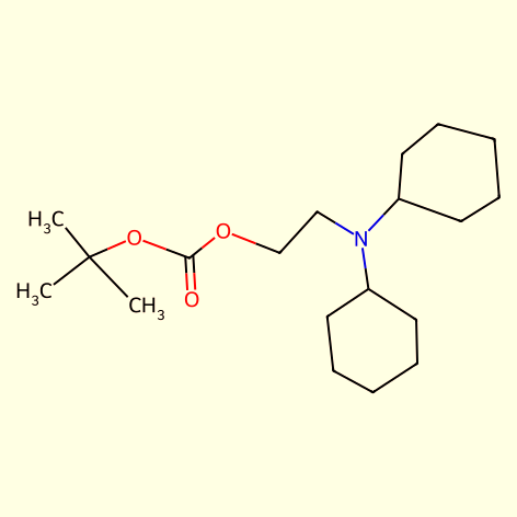 CC(C)(C)OC(=O)OCCN(C1CCCCC1)C1CCCCC1